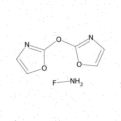 NF.c1coc(Oc2ncco2)n1